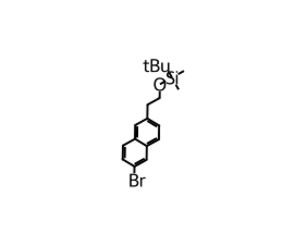 CC(C)(C)[Si](C)(C)OCCc1ccc2cc(Br)ccc2c1